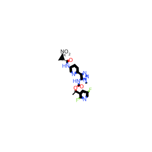 C[C@@H](OC(=O)Nc1c(-c2ccc(NC(=O)[C@@H]3C[C@H]3[N+](=O)[O-])cn2)nnn1C)c1cc(F)cnc1F